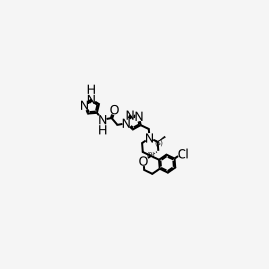 C[C@H]1C[C@@]2(CCN1Cc1cn(CC(=O)Nc3cn[nH]c3)nn1)OCCc1ccc(Cl)cc12